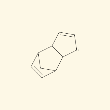 [CH]1C=CC2C3C=CC(C3)C12